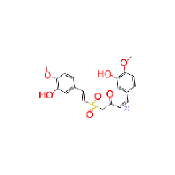 COc1ccc(C=CS(=O)(=O)CC(=O)/C=C\c2ccc(OC)c(O)c2)cc1O